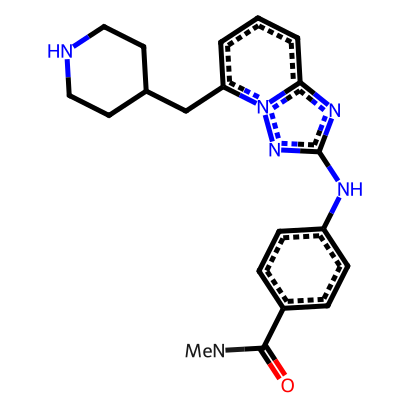 CNC(=O)c1ccc(Nc2nc3cccc(CC4CCNCC4)n3n2)cc1